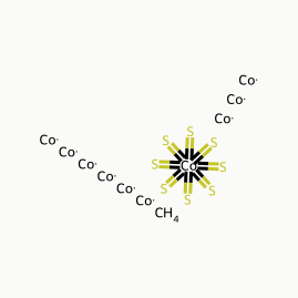 C.[Co].[Co].[Co].[Co].[Co].[Co].[Co].[Co].[Co].[S]=[Co](=[S])(=[S])(=[S])(=[S])(=[S])(=[S])=[S]